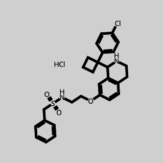 Cl.O=S(=O)(Cc1ccccc1)NCCOc1ccc2c(c1)C(C1(c3ccc(Cl)cc3)CCC1)NCC2